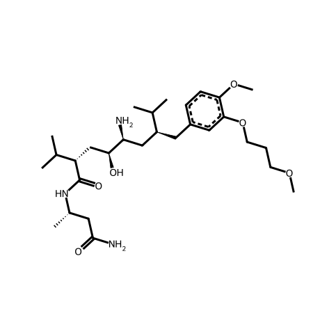 COCCCOc1cc(C[C@@H](C[C@H](N)[C@@H](O)C[C@H](C(=O)N[C@@H](C)CC(N)=O)C(C)C)C(C)C)ccc1OC